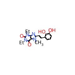 CCn1c(=O)c2c(nc(C=Cc3cccc(O)c3O)n2C)n(CC)c1=O